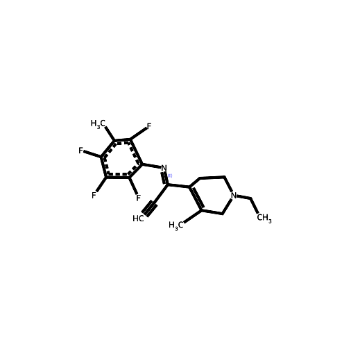 C#C/C(=N\c1c(F)c(C)c(F)c(F)c1F)C1=C(C)CN(CC)CC1